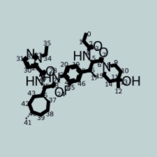 CCC(=O)N[C@@H](C(=O)N1CCC(C)(O)CC1)[C@@H](C)c1ccc(NC(=O)[C@@H](NC(=O)c2ccnn2CC)[C@H]2CCC[C@H](C)CC2)c(F)c1